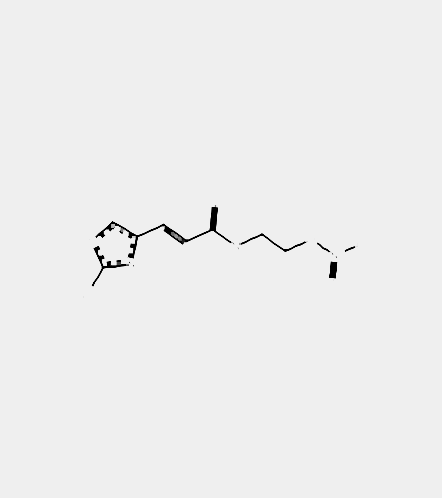 Cc1nc(/C=C/C(=O)NCCO[N+](=O)[O-])cs1